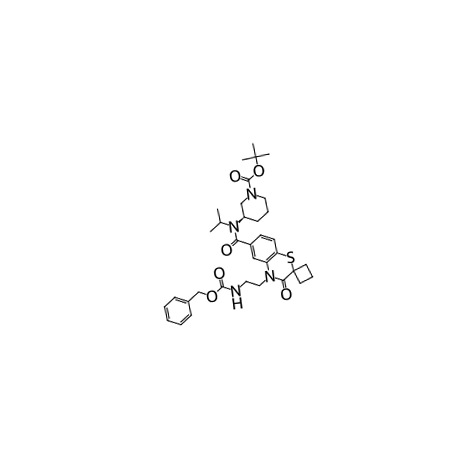 CC(C)N(C(=O)c1ccc2c(c1)N(CCNC(=O)OCc1ccccc1)C(=O)C1(CCC1)S2)[C@@H]1CCCN(C(=O)OC(C)(C)C)C1